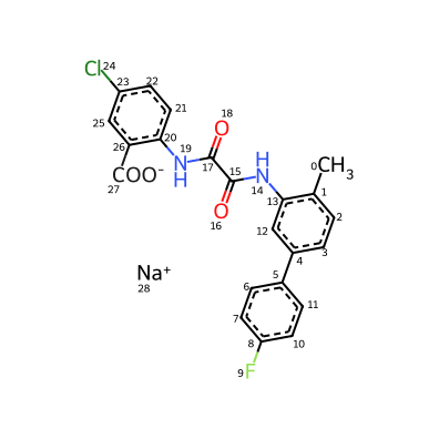 Cc1ccc(-c2ccc(F)cc2)cc1NC(=O)C(=O)Nc1ccc(Cl)cc1C(=O)[O-].[Na+]